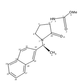 COC(=O)N[C@H]1CCN([C@@H](C)c2ccc3ccccc3c2)C1=O